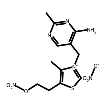 Cc1ncc(C[n+]2csc(CCO[N+](=O)[O-])c2C)c(N)n1.O=[N+]([O-])[O-]